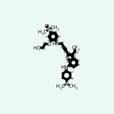 CN(C)C1CCC(Nc2cccc3c(CC(F)(F)F)c(C#CCNc4ccc(P(C)(C)=O)cc4OCCO)sc23)CC1